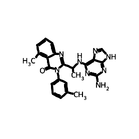 Cc1cccc(-n2c(C(C)Nc3nc(N)nc4[nH]cnc34)nc3cccc(C)c3c2=O)c1